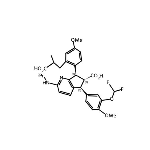 COc1ccc([C@@H]2c3nc(NC(C)C)ccc3[C@H](c3ccc(OC)c(OC(F)F)c3)[C@H]2C(=O)O)c(CC(C)C(=O)O)c1